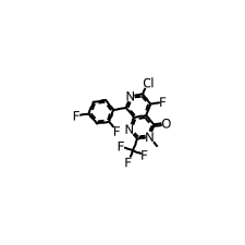 Cn1c(C(F)(F)F)nc2c(-c3ccc(F)cc3F)nc(Cl)c(F)c2c1=O